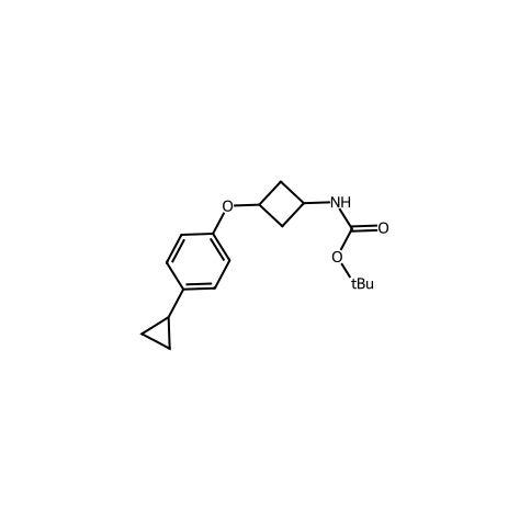 CC(C)(C)OC(=O)NC1CC(Oc2ccc(C3CC3)cc2)C1